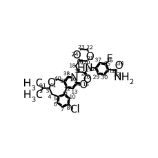 CC(C)C1Cc2ccc(Cl)cc2-c2cc(=O)n(C(C[C@@H]3COCCO3)C(=O)Nc3ccc(C(N)=O)c(F)c3)cc2CO1